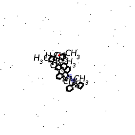 C=N/C(=C\C=C(/C)N(c1ccccc1)c1ccccc1)c1ccc2ccc3c(B(c4c(C)cc(C)cc4C)c4c(C)cc(C)cc4C)ccc4c5ccccc5c1c2c34